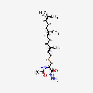 CC(=O)NC(CSC/C=C(\C)CC/C=C(\C)CCC=C(C)C)C(=O)NN